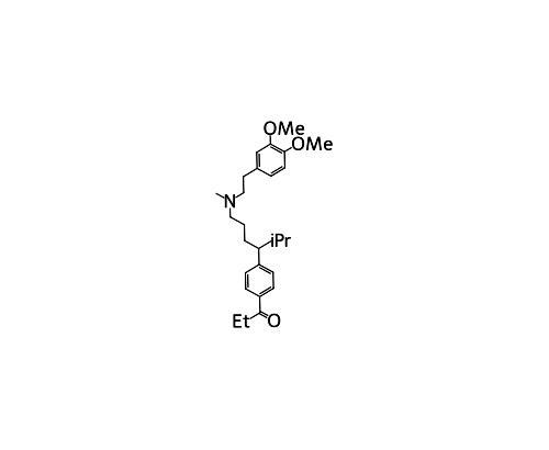 CCC(=O)c1ccc(C(CCCN(C)CCc2ccc(OC)c(OC)c2)C(C)C)cc1